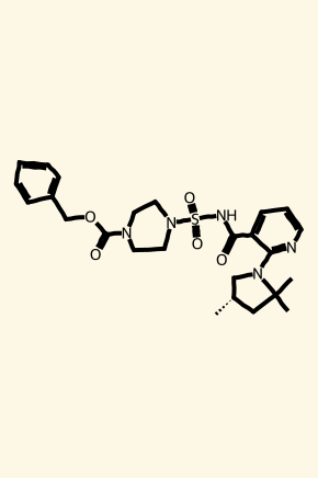 C[C@@H]1CN(c2ncccc2C(=O)NS(=O)(=O)N2CCN(C(=O)OCc3ccccc3)CC2)C(C)(C)C1